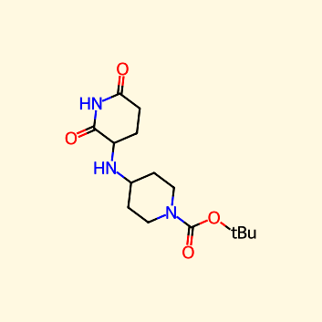 CC(C)(C)OC(=O)N1CCC(NC2CCC(=O)NC2=O)CC1